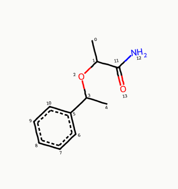 CC(OC(C)c1ccccc1)C(N)=O